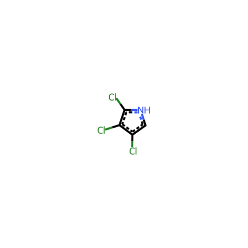 Clc1c[nH]c(Cl)c1Cl